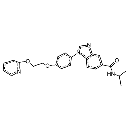 CC(C)NC(=O)c1ccc2c(c1)ncn2-c1ccc(OCCOc2ccccn2)cc1